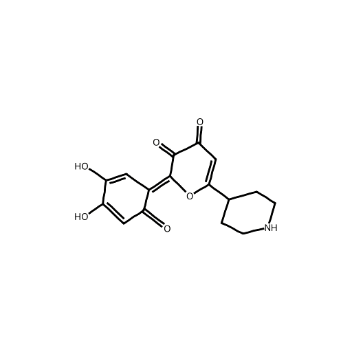 O=C1C=C(C2CCNCC2)O/C(=C2/C=C(O)C(O)=CC2=O)C1=O